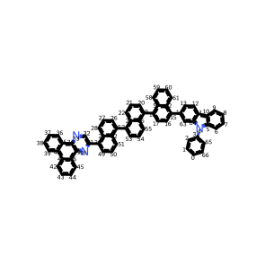 c1ccc(-n2c3ccccc3c3ccc(-c4ccc(-c5cccc6c(-c7cccc8c(-c9cnc%10c%11ccccc%11c%11ccccc%11c%10n9)cccc78)cccc56)c5ccccc45)cc32)cc1